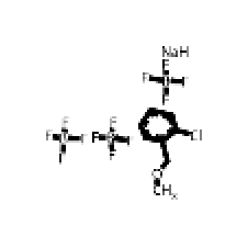 COCc1ccccc1Cl.F[B-](F)(F)F.F[B-](F)(F)F.F[B-](F)(F)F.[NaH]